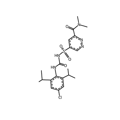 CC(C)c1cc(Cl)cc(C(C)C)c1NC(=O)NS(=O)(=O)c1cnnc(C(=O)N(C)C)c1